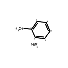 Br.[GeH3][c]1ccccc1